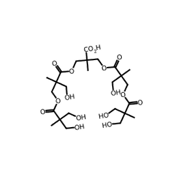 CC(COC(=O)C(C)(CO)COC(=O)C(C)(CO)CO)(COC(=O)C(C)(CO)COC(=O)C(C)(CO)CO)C(=O)O